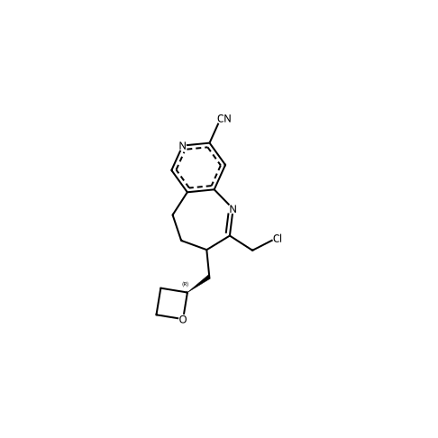 N#Cc1cc2c(cn1)CCC(C[C@@H]1CCO1)C(CCl)=N2